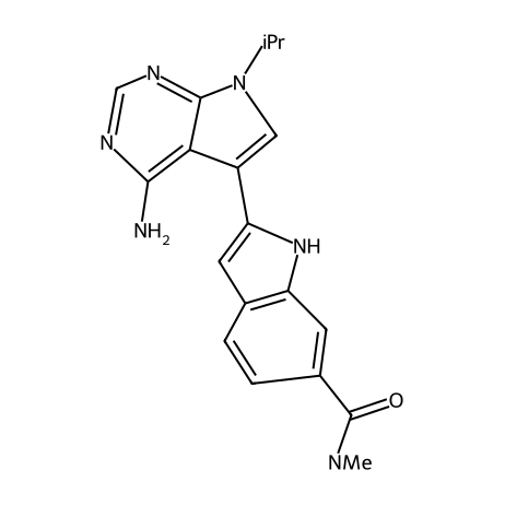 CNC(=O)c1ccc2cc(-c3cn(C(C)C)c4ncnc(N)c34)[nH]c2c1